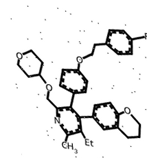 CCc1c(C)nc(COC2CCOCC2)c(-c2ccc(OCCc3ccc(F)cc3)cc2)c1-c1ccc2c(c1)CCCO2